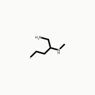 CNC(CN)CCI